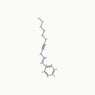 CCCCCCC#CCN=Cc1ccccc1